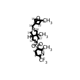 Cc1nc(C(F)(F)F)ccc1S(=O)(=O)N1C[C@H]2CN(CC34COC(C)(C3)C4)C[C@]2(C)C1